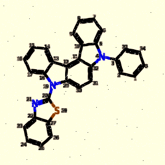 c1ccc(-n2c3ccccc3c3c4c5ccccc5n(-c5nc6ccccc6s5)c4ccc32)cc1